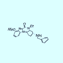 CCN(C(=O)c1nc2c(OC)cccc2[nH]1)[C@H]1CCC[C@@H](NCc2ccccc2)C1